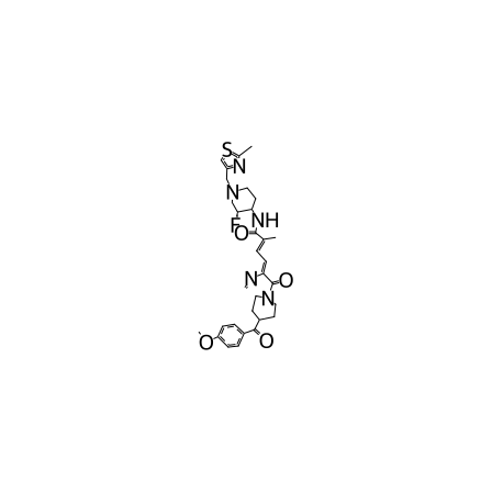 C=N/C(=C\C=C(/C)C(=O)NC1CCN(Cc2csc(C)n2)C[C@@H]1F)C(=O)N1CCC(C(=O)c2ccc(OC)cc2)CC1